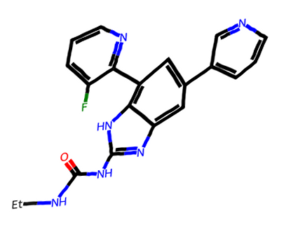 CCNC(=O)Nc1nc2cc(-c3cccnc3)cc(-c3ncccc3F)c2[nH]1